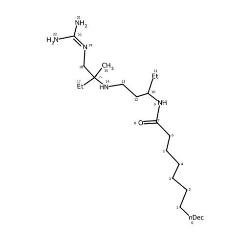 CCCCCCCCCCCCCCCCC(=O)NC(CC)CCNC(C)(CC)CN=C(N)N